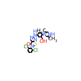 C[C@@H]1CN[C@@H](C)CN1c1ccc(Nc2ncc3c(n2)SCN(c2c(Cl)cccc2Cl)C3=O)cc1CO